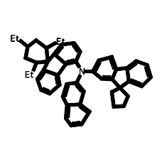 CCC1CC(CC)C2(c3ccccc3-c3c(N(c4ccc5c(c4)C4(CCCC4)c4ccccc4-5)c4ccc5ccccc5c4)cccc32)C(CC)C1